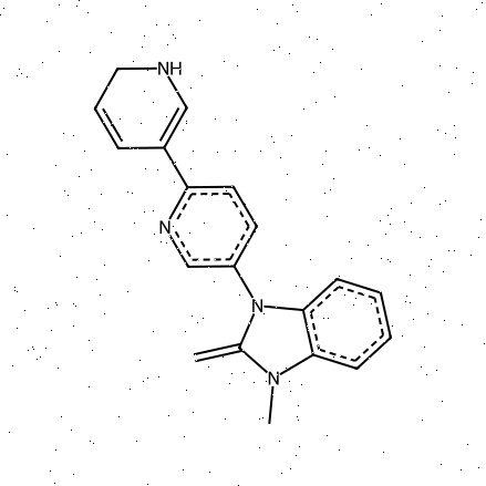 C=C1N(C)c2ccccc2N1c1ccc(C2=CNCC=C2)nc1